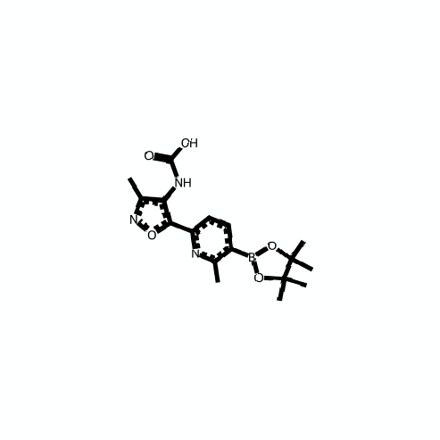 Cc1nc(-c2onc(C)c2NC(=O)O)ccc1B1OC(C)(C)C(C)(C)O1